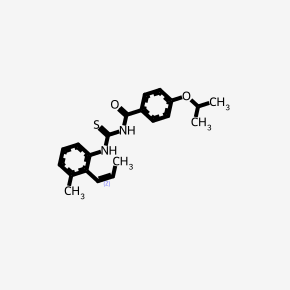 C/C=C\c1c(C)cccc1NC(=S)NC(=O)c1ccc(OC(C)C)cc1